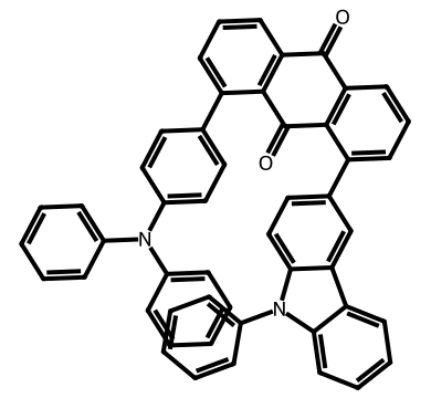 O=C1c2cccc(-c3ccc(N(c4ccccc4)c4ccccc4)cc3)c2C(=O)c2c1cccc2-c1ccc2c(c1)c1ccccc1n2-c1ccccc1